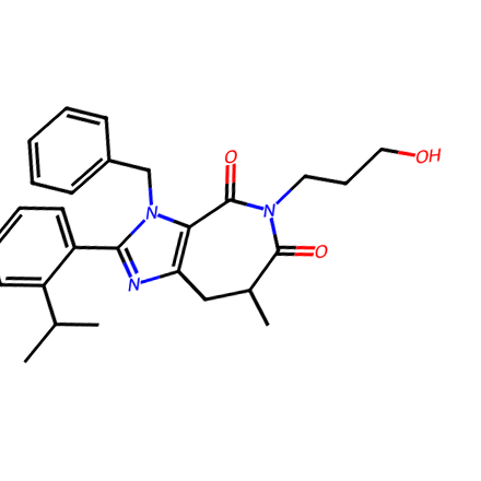 CC1Cc2nc(-c3ccccc3C(C)C)n(Cc3ccccc3)c2C(=O)N(CCCO)C1=O